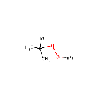 [CH2]CCOOC(C)(C)CC